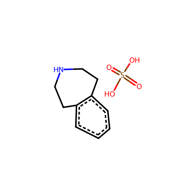 O=S(=O)(O)O.c1ccc2c(c1)CCNCC2